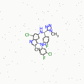 Cn1cnnc1C(Nc1cc(Cl)c2ncc(C#N)c(Nc3ccc(F)c(Cl)c3)c2c1)c1ccc(F)cc1